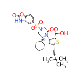 CC(C)(C)C#Cc1cc(N2C(=O)CN(S(=O)(=O)c3ccc4oc(=O)[nH]c4c3)C[C@H]2C2CCCCC2)c(C(=O)O)s1